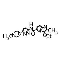 CCOc1c(C)nc2ccc(C(=O)Nc3ccc(N4CCN(C)CC4)nn3)cn12